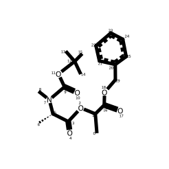 CC(OC(=O)[C@H](C)N(C)C(=O)OC(C)(C)C)C(=O)OCc1ccccc1